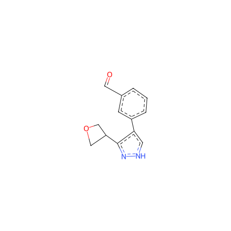 O=Cc1cccc(-c2c[nH]nc2C2COC2)c1